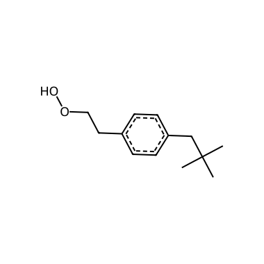 CC(C)(C)Cc1ccc(CCOO)cc1